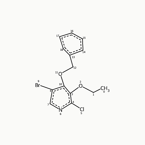 CCOc1c(Cl)ncc(Br)c1OCc1ccccc1